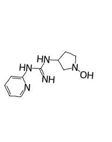 N=C(Nc1ccccn1)NC1CCN(O)C1